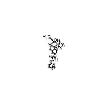 CC#C[C@@]1(O)CC[C@]2(Cc3ccccc3)c3ccc(OC(=O)NCc4cccnc4)cc3CC[C@H]2C1